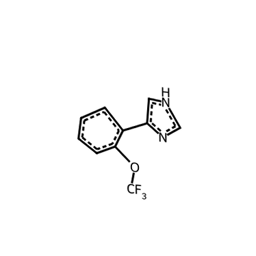 FC(F)(F)Oc1ccccc1-c1c[nH]cn1